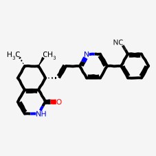 C[C@H]1[C@H](/C=C/c2ccc(-c3ccccc3C#N)cn2)c2c(cc[nH]c2=O)C[C@@H]1C